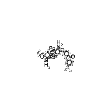 CCC(C)(C)Oc1ccc(C(c2ccc(Oc3ccc(C(=O)c4ccc(C(C)C)cc4)cc3)c(N)c2)(C(F)(F)F)C(F)(F)F)cc1N